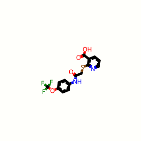 O=C(CSc1ncccc1C(=O)O)Nc1ccc(OC(F)(F)F)cc1